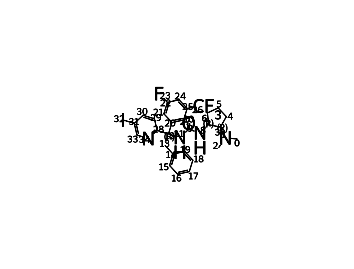 CN(C)[C@@H]1CCC[C@H]1NC(=O)N[C@](Cc1ccccc1)(c1cc(F)cc(C(F)(F)F)c1)c1ccc(I)cn1